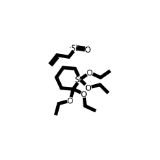 C=CC[Si]=O.CCOC1(OCC)CCCC[Si]1(OCC)OCC